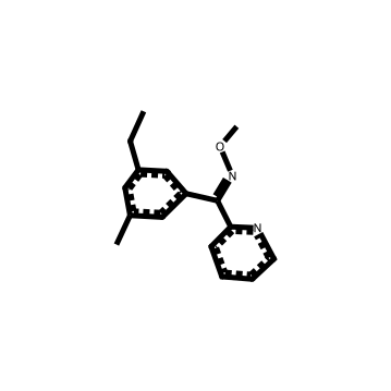 CCc1[c]c(/C(=N\OC)c2ccccn2)cc(C)c1